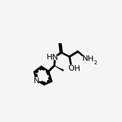 C=C(N[C@@H](C)c1ccncc1)C(O)CN